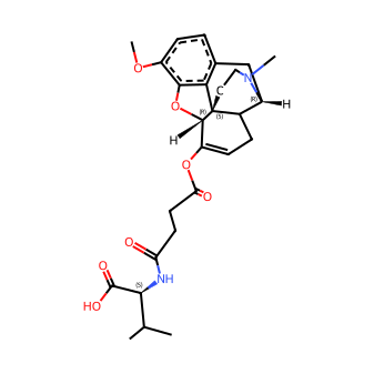 COc1ccc2c3c1O[C@H]1C(OC(=O)CCC(=O)N[C@H](C(=O)O)C(C)C)=CCC4[C@@H](C2)N(C)CC[C@@]341